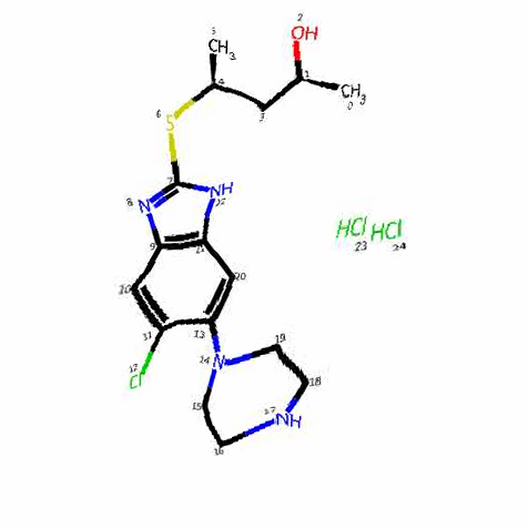 C[C@H](O)C[C@H](C)Sc1nc2cc(Cl)c(N3CCNCC3)cc2[nH]1.Cl.Cl